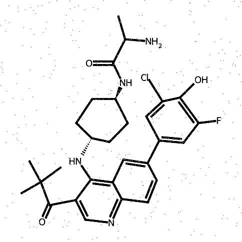 CC(N)C(=O)N[C@H]1CC[C@H](Nc2c(C(=O)C(C)(C)C)cnc3ccc(-c4cc(F)c(O)c(Cl)c4)cc23)CC1